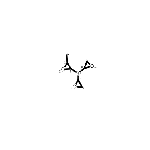 CC1OC1B(C1CO1)C1CO1